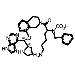 NCCCCC(C(=O)N1CCc2cccc(O[C@H](c3ncnc4[nH]cnc34)[C@H]3CCCN3)c2C1)N(Cc1ccccc1)C(=O)O